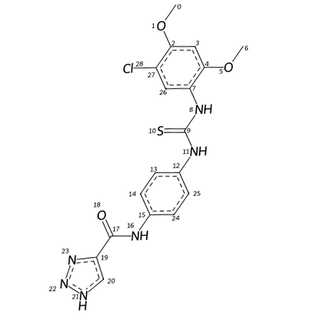 COc1cc(OC)c(NC(=S)Nc2ccc(NC(=O)c3c[nH]nn3)cc2)cc1Cl